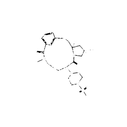 CN1CCC[C@H](N2CCN(S(C)(=O)=O)CC2)C(=O)N2C[C@@H](O)C[C@H]2COc2cccc(c2)C1=O